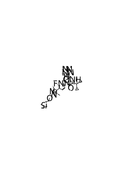 Cc1nn(COCC[Si](C)(C)C)c(C)c1-c1ccc(NC(=O)[C@@H](NC(=O)c2nnnn2C)C(C2CC2)C2CC2)nc1F